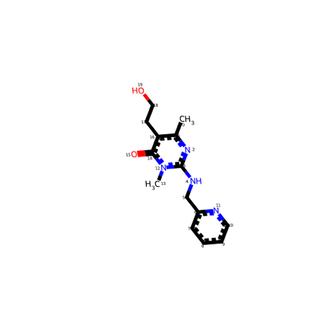 Cc1nc(NCc2ccccn2)n(C)c(=O)c1CCO